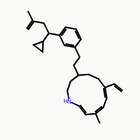 C=C/C1=C/C=C(C)\C=C\NCCC(CCc2cccc(C(CC(=C)C)C3CC3)c2)CC1